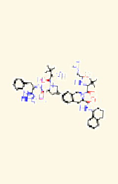 CNCC(=O)NC(C(=O)N1Cc2cc([C@H]3C[C@@H](C(=O)NC(Cc4ccccc4)/C(N)=N/N)N(C(=O)[C@@H](NC)C(C)(C)C)C3)ccc2CC1C(=O)NC1CCCc2ccccc21)C(C)(C)C